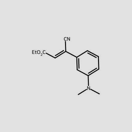 CCOC(=O)C=C(C#N)c1cccc(N(C)C)c1